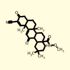 CONC(=O)C12CCC3C(C(=O)C=C4C5(C)C=C(C#N)C(=O)CC5CCC43C)C1CC(C)(C)CC2